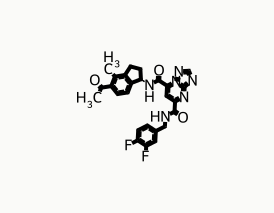 CC(=O)c1ccc2c(c1C)CC[C@@H]2NC(=O)c1cc(C(=O)NCc2ccc(F)c(F)c2)nc2ncnn12